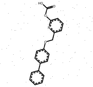 O=C(O)Oc1cccc(COc2ccc(-c3ccccc3)cc2)n1